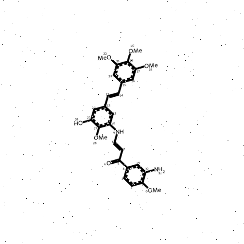 COc1ccc(C(=O)C=CNc2cc(C=Cc3cc(OC)c(OC)c(OC)c3)cc(O)c2OC)cc1N